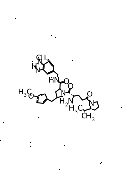 COc1ccc(CC2CC(C(=O)NCc3ccc4c(c3)nnn4C)N(C(=O)C(N)CCC(=O)N3CCCC3C(C)C)C2)cc1